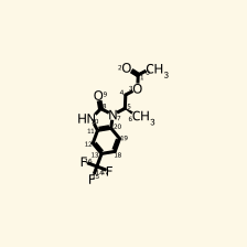 CC(=O)OC[C@@H](C)n1c(=O)[nH]c2cc(C(F)(F)F)ccc21